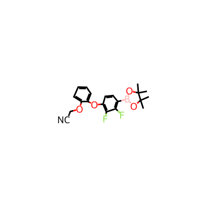 CC1(C)OB(c2ccc(Oc3ccccc3OCC#N)c(F)c2F)OC1(C)C